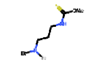 CCN(CC)CCCNC(=S)OC